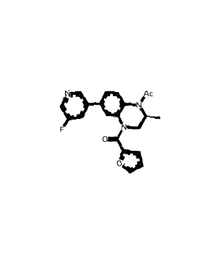 CC(=O)N1c2ccc(-c3cncc(F)c3)cc2N(C(=O)c2ccco2)C[C@@H]1C